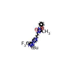 Cc1cn(CCCCN2CCN(c3cc(C(F)(F)F)nc(C(C)(C)C)n3)CC2)c(=O)nc1Oc1ccccc1